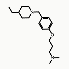 CCC1CCN(Cc2ccc(OCCCN(C)C)cc2)CC1